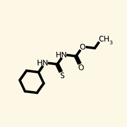 CCOC(=O)NC(=S)NC1CCCCC1